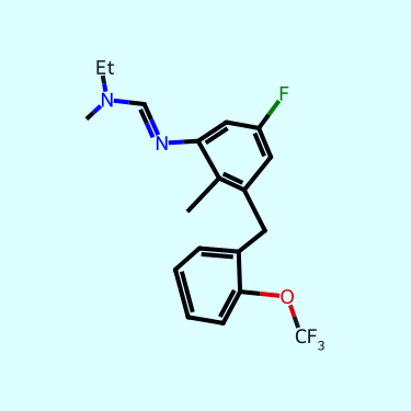 CCN(C)C=Nc1cc(F)cc(Cc2ccccc2OC(F)(F)F)c1C